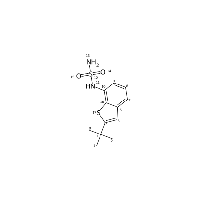 CC(C)(C)c1cc2cccc(NS(N)(=O)=O)c2s1